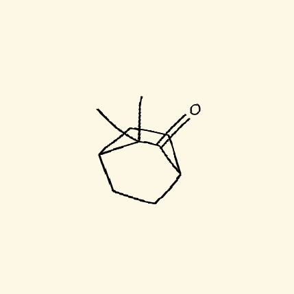 CC1(C)C(=O)C2CCC1CC2